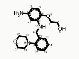 Nc1ccc(OCCO)c(NCc2ccccc2N2CCOCC2)c1